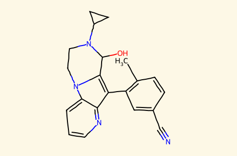 Cc1ccc(C#N)cc1-c1c2n(c3cccnc13)CCN(C1CC1)C2O